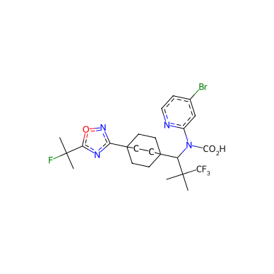 CC(C)(F)c1nc(C23CCC(C(N(C(=O)O)c4cc(Br)ccn4)C(C)(C)C(F)(F)F)(CC2)CC3)no1